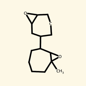 CC12CCCCC(C3CCCC4OC4C3)C1O2